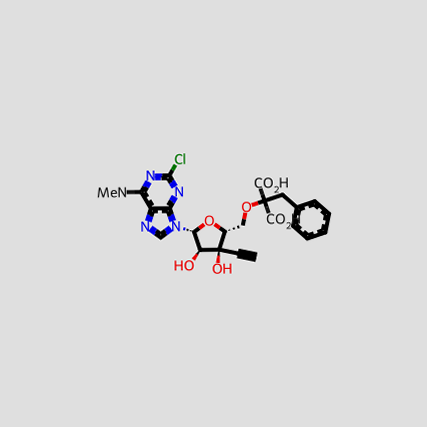 C#C[C@@]1(O)[C@@H](COC(Cc2ccccc2)(C(=O)O)C(=O)O)O[C@@H](n2cnc3c(NC)nc(Cl)nc32)[C@@H]1O